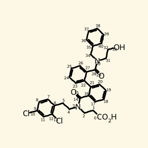 O=C(O)CCN(CCc1ccc(Cl)cc1Cl)C(=O)c1ccccc1-c1ccccc1C(=O)N(CCO)Cc1ccccc1